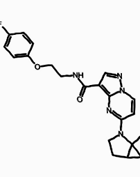 CC12CC1CCN2c1ccn2ncc(C(=O)NCCOc3ccc(F)cc3)c2n1